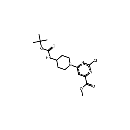 COC(=O)c1cc(N2CCC(NC(=O)OC(C)(C)C)CC2)nc(Cl)n1